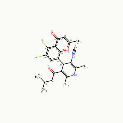 [C-]#[N+]C1=C(C)NC(C)=C(C(=O)CC(C)C)C1c1cc(F)c(F)c2c(=O)cc(C)oc12